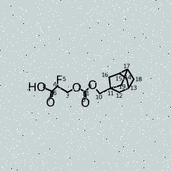 O=C(OCC(F)C(=O)O)OCC12CC3CC(C1)C(C3)C2